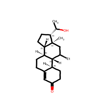 CCC1C[C@]2(C)[C@@H](C(C)O)CC[C@H]2[C@@H]2CCC3=CC(=O)CC[C@@H]3[C@@H]12